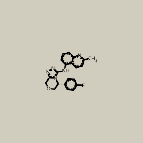 Cc1ccc2c(Nc3nnc4n3[C@H](c3ccc(F)cc3)COC4)cccc2n1